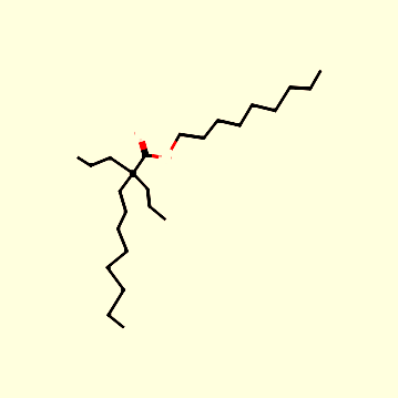 CCCCCCCCCOC(=O)C(CCC)(CCC)CCCCCCCC